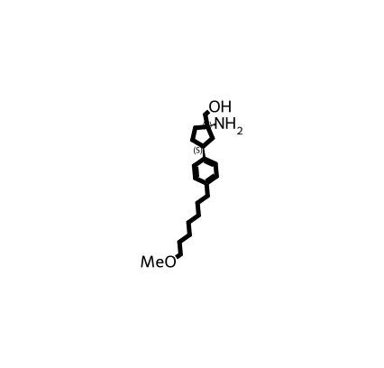 COCCCCCCCc1ccc([C@H]2CC[C@@](N)(CO)C2)cc1